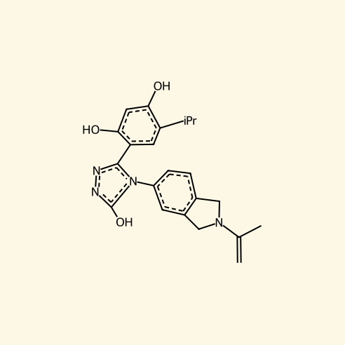 C=C(C)N1Cc2ccc(-n3c(O)nnc3-c3cc(C(C)C)c(O)cc3O)cc2C1